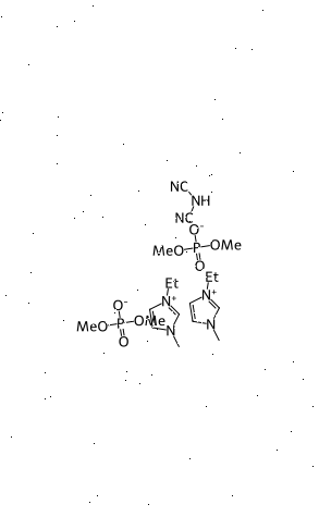 CC[n+]1ccn(C)c1.CC[n+]1ccn(C)c1.COP(=O)([O-])OC.COP(=O)([O-])OC.N#CNC#N